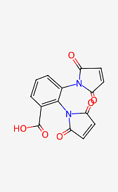 O=C(O)c1cccc(N2C(=O)C=CC2=O)c1N1C(=O)C=CC1=O